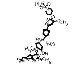 COc1nc(N(C)[C@H]2C[C@@H](NCc3ccc(-c4cc(OC)c(OC5CCN(S(C)(=O)=O)CC5)nn4)cc3)C[C@H]2O)c2cc(CC(F)(F)F)sc2n1.Cl